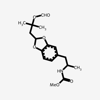 COC(=O)NC(C)Cc1ccc2c(c1)OC(CC(C)(C)OC=O)O2